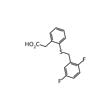 O=C(O)Cc1ccccc1SCc1cc(F)ccc1F